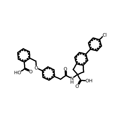 O=C(Cc1ccc(OCc2ccccc2C(=O)O)cc1)NC1(C(=O)O)Cc2ccc(-c3ccc(Cl)cc3)cc2C1